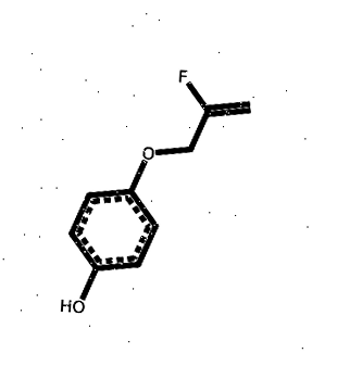 C=C(F)COc1ccc(O)cc1